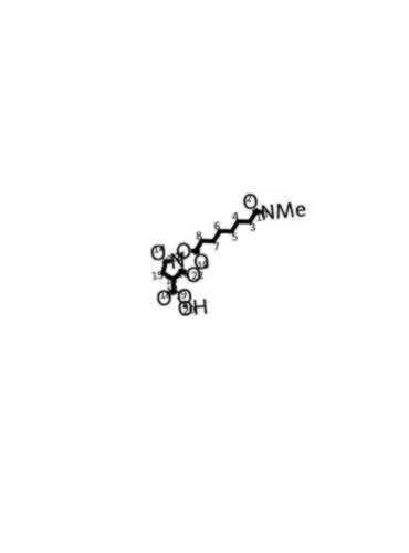 CNC(=O)CCCCCCC(=O)ON1C(=O)CC(C(=O)OO)C1=O